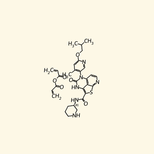 C=CC(=O)OC(=O)C=C.Cc1cc(OCC(C)C)ncc1N1C(=O)Nc2c(C(=O)N[C@@H]3CCCNC3)sc3nccc1c23